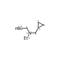 CCCCCN(CC)CC1CC1